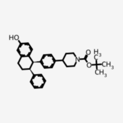 CC(C)(C)OC(=O)N1CCC(c2ccc([C@@H]3c4ccc(O)cc4CC[C@@H]3c3ccccc3)cc2)CC1